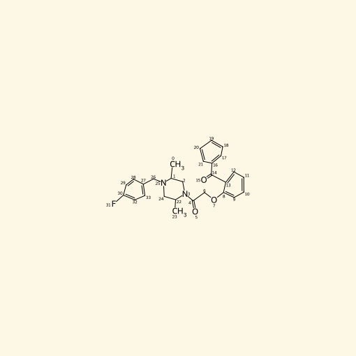 CC1CN(C(=O)COc2ccccc2C(=O)c2ccccc2)C(C)CN1Cc1ccc(F)cc1